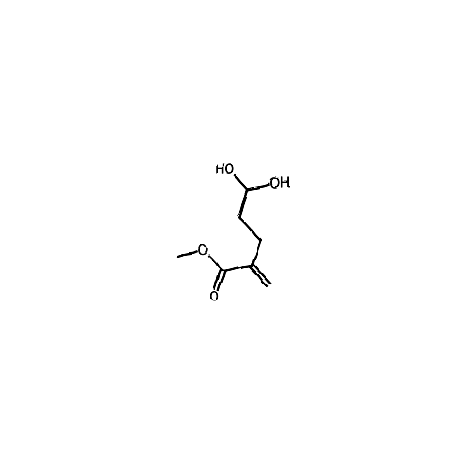 C=C(CCC(O)O)C(=O)OC